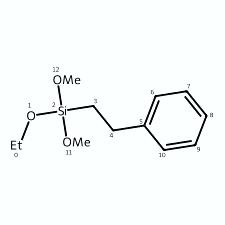 CCO[Si](CCc1ccccc1)(OC)OC